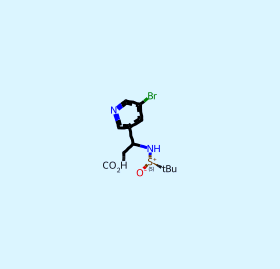 CC(C)(C)[S@@+]([O-])NC(CC(=O)O)c1cncc(Br)c1